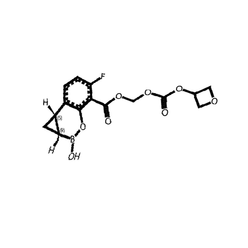 O=C(OCOC(=O)c1c(F)ccc2c1OB(O)[C@@H]1C[C@H]21)OC1COC1